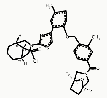 Cc1ccc(OCc2ccc(C(=O)N3C[C@H]4CC[C@@H](C3)O4)cc2C)c(-c2csc(N3C[C@H]4CCC[C@@H](C3)[C@H]4C(=O)O)n2)c1